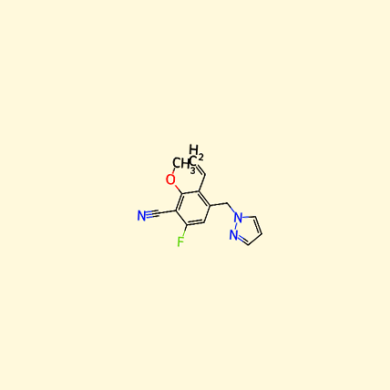 C=Cc1c(Cn2cccn2)cc(F)c(C#N)c1OC